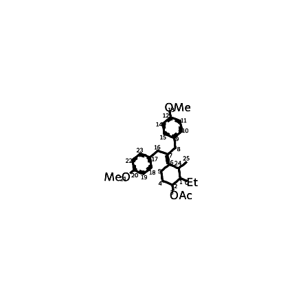 CCC1C(OC(C)=O)CCC(=C(Cc2ccc(OC)cc2)Cc2ccc(OC)cc2)C1C